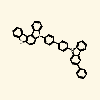 c1ccc(-c2ccc3c(c2)c2ccccc2n3-c2ccc(-c3ccc(-n4c5ccccc5c5c6c(ccc54)oc4ccccc46)cc3)cc2)cc1